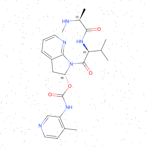 CN[C@@H](C)C(=O)N[C@H](C(=O)N1c2ncccc2C[C@H]1OC(=O)Nc1cnccc1C)C(C)C